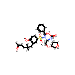 COc1ccc(S(=O)(=O)N(Cc2ccccc2)[C@@H]([C@@H](C)O)N(C(=O)O)[C@H]2CCOC2)cc1CC(C)(C)CCC(C)=O